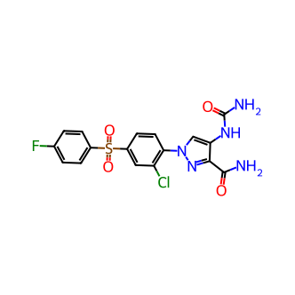 NC(=O)Nc1cn(-c2ccc(S(=O)(=O)c3ccc(F)cc3)cc2Cl)nc1C(N)=O